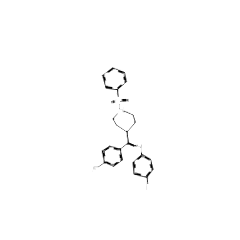 O=S(=O)(c1ccccc1)N1CCC(C(=Nc2ccc(F)cc2)c2ccc(F)cc2)CC1